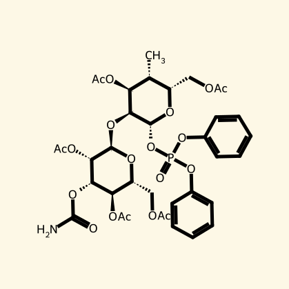 CC(=O)OC[C@@H]1O[C@H](OP(=O)(Oc2ccccc2)Oc2ccccc2)[C@@H](O[C@H]2O[C@H](COC(C)=O)[C@@H](OC(C)=O)[C@H](OC(N)=O)[C@@H]2OC(C)=O)[C@@H](OC(C)=O)[C@@H]1C